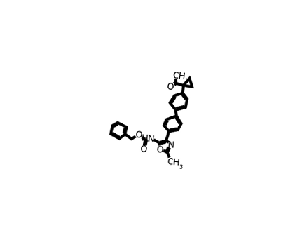 CC(=O)C1(c2ccc(-c3ccc(-c4nc(C)oc4NC(=O)OCc4ccccc4)cc3)cc2)CC1